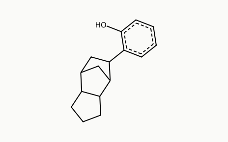 Oc1ccccc1C1CC2CC1C1CCCC21